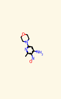 Cc1nc(N2CCOCC2)cc(N)c1N=O